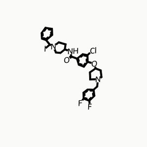 O=C(NC1CCN(C(I)c2ccccc2)CC1)c1ccc(OC2CCN(Cc3ccc(F)c(F)c3)CC2)c(Cl)c1